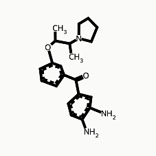 CC(Oc1cccc(C(=O)c2ccc(N)c(N)c2)c1)C(C)N1CCCC1